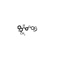 Cc1cc(Nc2cccc(OC3CCC4(CC3)OCCO4)c2)c2ccccc2n1